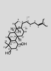 CC(C)=CCC[C@@H](C)[C@H]1CC[C@H]2[C@@H]3CC=C4C(C)(C)[C@H](O)C[C@H](O)[C@]4(C)[C@H]3CC[C@]12C